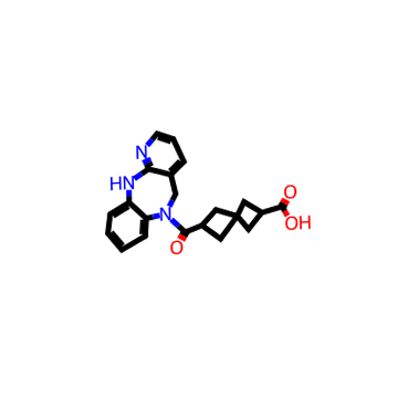 O=C(O)C1CC2(C1)CC(C(=O)N1Cc3cccnc3Nc3ccccc31)C2